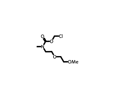 COCCOCCN(C)C(=O)OCCl